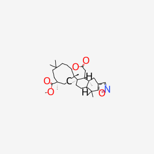 COC(=O)[C@@]1(C)CCC(C)(C)CCC2OC(=O)C[C@@H]3[C@@]4(C)Cc5cnoc5C(C)(C)[C@@H]4CC[C@@]3(C)[C@]2(C)CC1